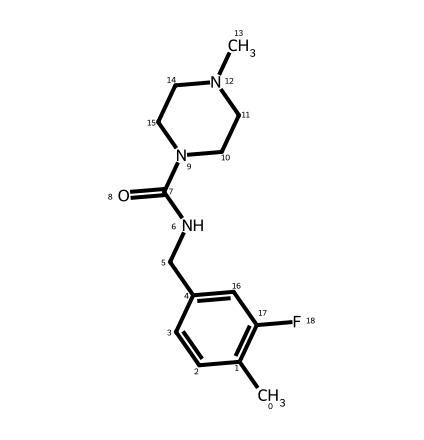 Cc1ccc(CNC(=O)N2CCN(C)CC2)cc1F